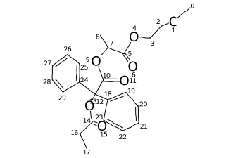 CCCCOC(=O)C(C)OC(=O)C(OC(=O)CC)(c1ccccc1)c1ccccc1